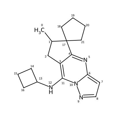 CC1Cc2c(nc3ccnn3c2NC2CCC2)C12CCCC2